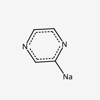 [Na][c]1cnccn1